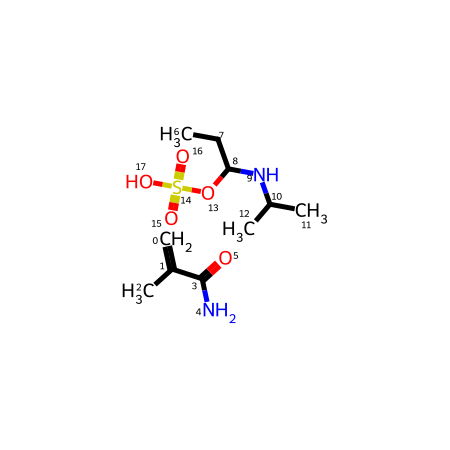 C=C(C)C(N)=O.CCC(NC(C)C)OS(=O)(=O)O